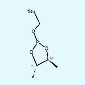 C[C@@H]1OP(OCC(C)(C)C)O[C@H]1C